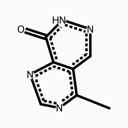 Cc1ncnc2c(=O)[nH]ncc12